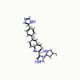 C[C@@H]1CNC(N2CNC=C2c2ccc3cc(-c4ccc(-c5cnc[nH]5)cc4)ccc3n2)C1